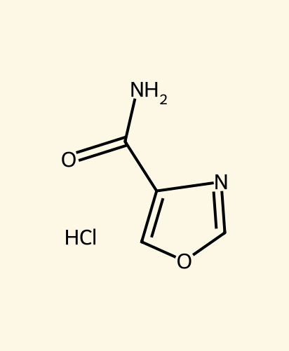 Cl.NC(=O)c1cocn1